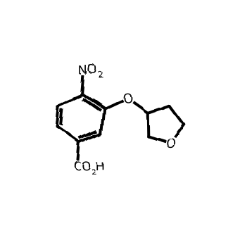 O=C(O)c1ccc([N+](=O)[O-])c(OC2CCOC2)c1